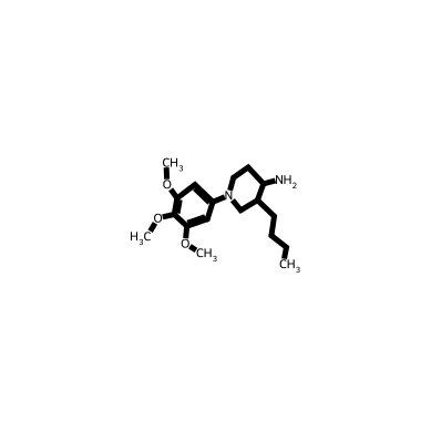 CCCCC1CN(c2cc(OC)c(OC)c(OC)c2)CCC1N